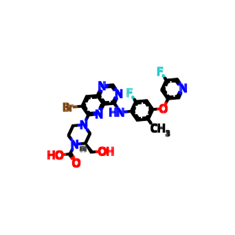 Cc1cc(Nc2ncnc3cc(Br)c(N4CCN(C(=O)O)[C@H](CO)C4)nc23)c(F)cc1Oc1cncc(F)c1